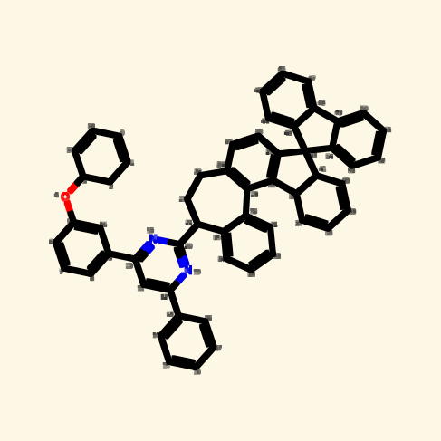 C1=CCC(Oc2cccc(-c3cc(-c4ccccc4)nc(C4CCc5ccc6c(c5-c5ccccc54)C4C=CC=CC4C64c5ccccc5-c5ccccc54)n3)c2)C=C1